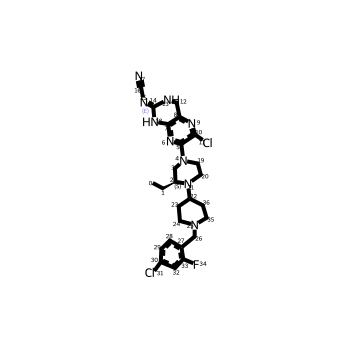 CC[C@H]1CN(c2nc3c(nc2Cl)CN/C(=N\C#N)N3)CCN1C1CCN(Cc2ccc(Cl)cc2F)CC1